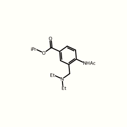 CCN(CC)Cc1cc(C(=O)OC(C)C)ccc1NC(C)=O